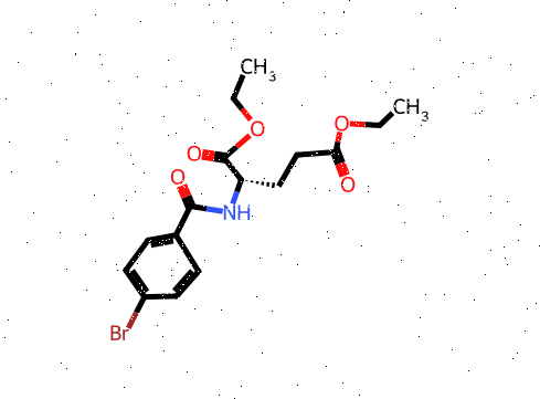 CCOC(=O)CC[C@H](NC(=O)c1ccc(Br)cc1)C(=O)OCC